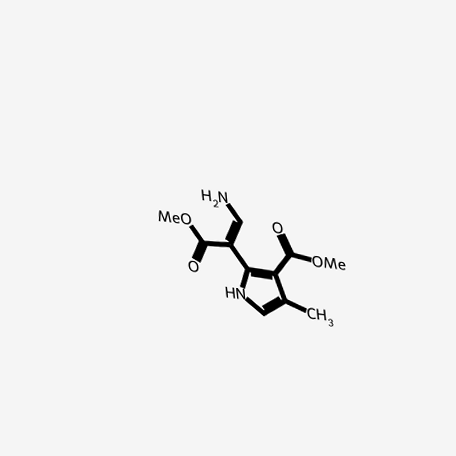 COC(=O)C(=CN)c1[nH]cc(C)c1C(=O)OC